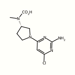 CN(C(=O)O)[C@H]1CCN(c2cc(Cl)nc(N)n2)C1